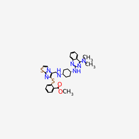 COC(=O)c1ccccc1Sc1nc2sccn2c1CN[C@H]1CC[C@@H](Nc2nc(N(C)C)c3ccccc3n2)CC1